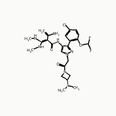 C=C(N)C(C(=O)Nc1cn(CC(=O)N2CC(N(C)C)C2)nc1-c1cc(Cl)ccc1OC(F)F)=C(NC)NC